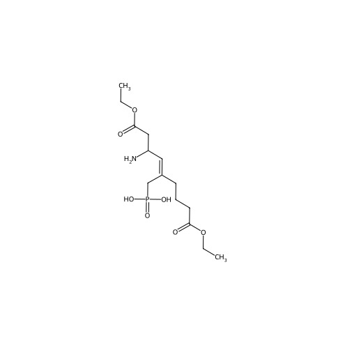 CCOC(=O)CCCC(=CC(N)CC(=O)OCC)CP(=O)(O)O